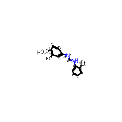 CCc1ccccc1NC=Nc1ccc(C(=O)O)c(CC)c1